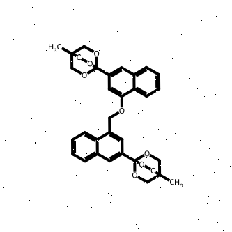 CC12COC(c3cc(COc4cc(C56OCC(C)(CO5)CO6)cc5ccccc45)c4ccccc4c3)(OC1)OC2